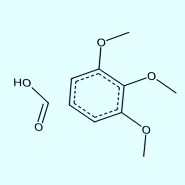 COc1cccc(OC)c1OC.O=CO